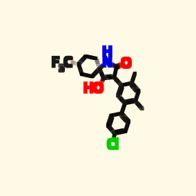 Cc1cc(C)c(-c2ccc(Cl)cc2)cc1C1=C(O)[C@]2(CC[C@@H](C(F)(F)F)CC2)NC1=O